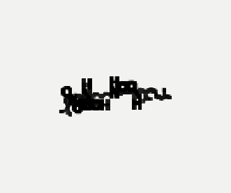 CC(C)=C(/C=C\C=C/C(C)C)CNC(=O)CC(=O)CNCCCCC(NC(=O)CN1C(=O)CC(C(C)C)C1=O)C(=O)O